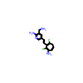 NCc1cc(C=CC2=C(F)CC=CC(N)=C2F)cnc1N